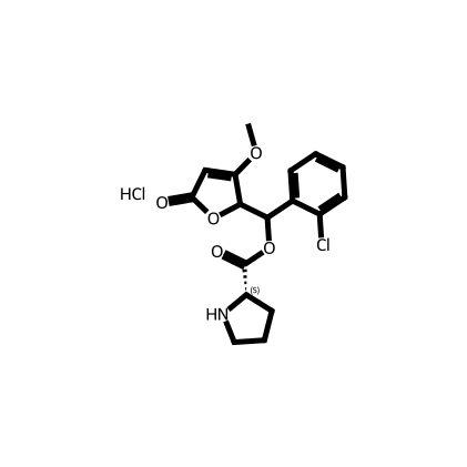 COC1=CC(=O)OC1C(OC(=O)[C@@H]1CCCN1)c1ccccc1Cl.Cl